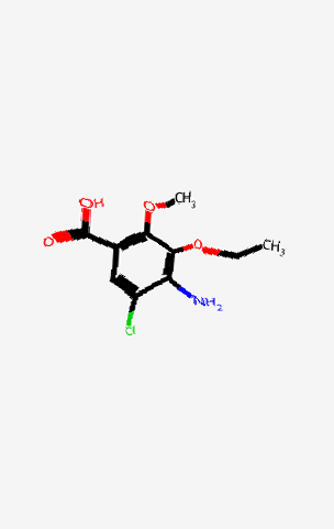 CCOc1c(N)c(Cl)cc(C(=O)O)c1OC